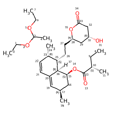 CCOC(C)OCC.CC[C@H](C)C(=O)O[C@H]1C[C@@H](C)C=C2C=C[C@H](C)[C@H](CC[C@@H]3C[C@@H](O)CC(=O)O3)[C@H]21